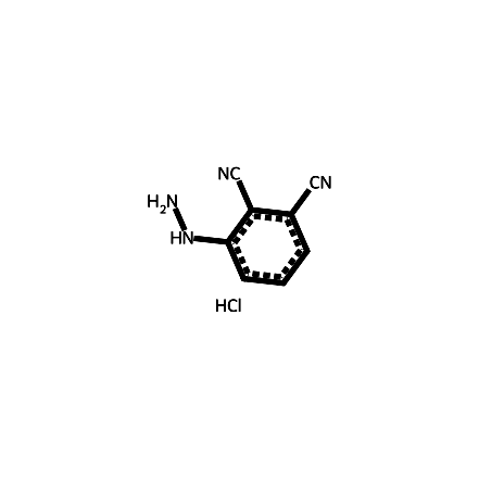 Cl.N#Cc1cccc(NN)c1C#N